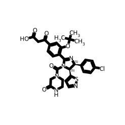 CC(C)(C)Oc1cc(C(=O)CC(=O)O)ccc1C1=N[C@@H](c2ccc(Cl)cc2)[C@@H](c2ccns2)N1C(=O)N1CCNC(=O)C1